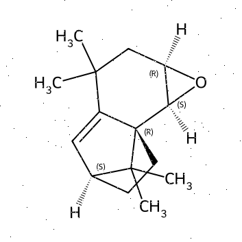 CC1(C)C[C@H]2O[C@H]2[C@@]23CC[C@@H](C=C12)C3(C)C